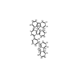 c1cc(-c2ccc3c(c2)C2(c4ccccc4-c4ccccc42)c2ccccc2-3)cc(-c2cccc3c2oc2ccccc23)c1